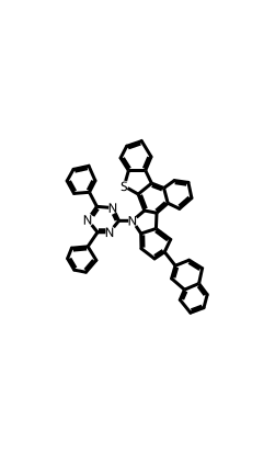 c1ccc(-c2nc(-c3ccccc3)nc(-n3c4ccc(-c5ccc6ccccc6c5)cc4c4c5ccccc5c5c6ccccc6sc5c43)n2)cc1